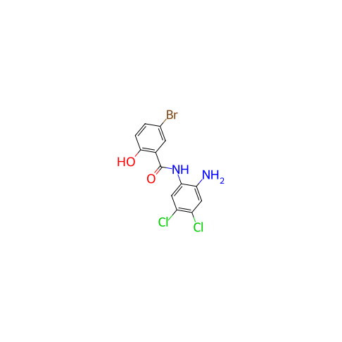 Nc1cc(Cl)c(Cl)cc1NC(=O)c1cc(Br)ccc1O